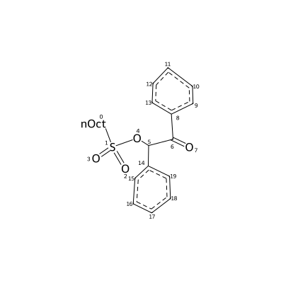 CCCCCCCCS(=O)(=O)OC(C(=O)c1ccccc1)c1ccccc1